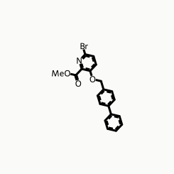 COC(=O)c1nc(Br)ccc1OCc1ccc(-c2ccccc2)cc1